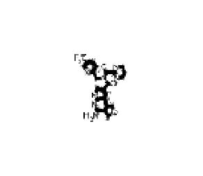 CC(c1ncccn1)N(Cc1ccc(C(F)(F)F)cn1)C(=O)c1cnc2nc(N)c3c(c2c1)COC3